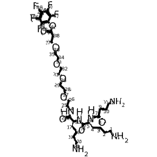 NCCCC[C@H](NC(=O)CCCN)C(=O)N[C@@H](CCCCN)C(=O)NCCOCCOCCOCCOCCC(=O)Oc1c(F)c(F)c(F)c(F)c1F